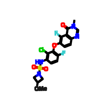 COC1CN(S(=O)(=O)Nc2ccc(F)c(Oc3ccc4ncn(C)c(=O)c4c3F)c2Cl)C1